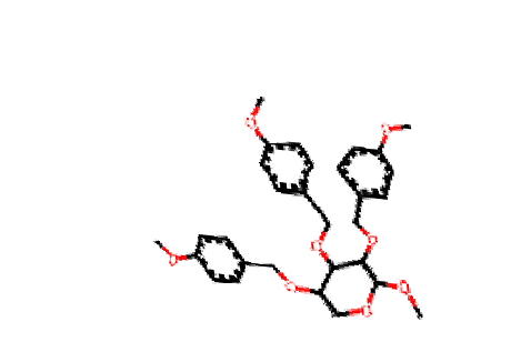 COc1ccc(COC2[C]OC(OC)C(OCc3ccc(OC)cc3)C2OCc2ccc(OC)cc2)cc1